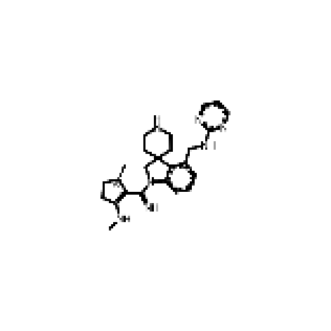 CNC1=C(C(=N)N2CC3(CCNCC3)c3c(CNc4ncccn4)cccc32)[C@H](C)CC1